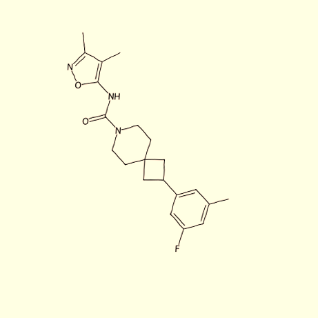 Cc1cc(F)cc(C2CC3(CCN(C(=O)Nc4onc(C)c4C)CC3)C2)c1